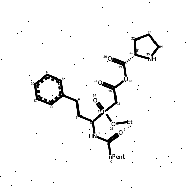 CCCCCC(=O)NC(CCc1ccccc1)P(=O)(CC(=O)OC(=O)[C@@H]1CCCN1)OCC